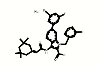 CC1(C)CC(=CC(=O)Nc2c(C(=O)[O-])n(Cc3cccc(Cl)c3)c3cc(-c4cc(F)cc(F)c4)ccc23)CC(C)(C)C1.[Na+]